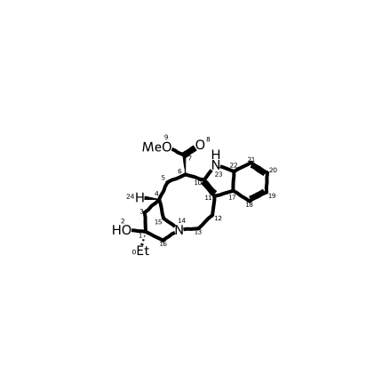 CC[C@]1(O)C[C@@H]2C[C@@H](C(=O)OC)C3=C(CCN(C2)C1)C1C=CC=CC1N3